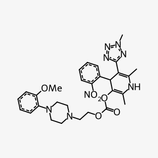 COc1ccccc1N1CCN(CCOC(=O)OC2=C(C)NC(C)=C(c3nnn(C)n3)C2c2ccccc2[N+](=O)[O-])CC1